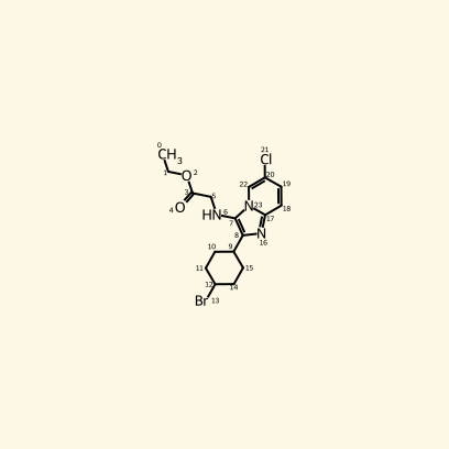 CCOC(=O)CNc1c(C2CCC(Br)CC2)nc2ccc(Cl)cn12